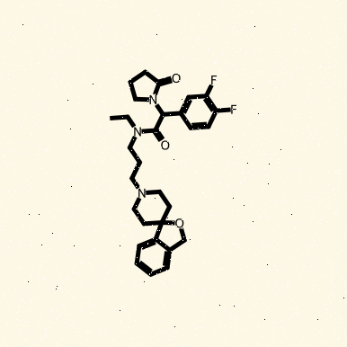 CCN(CCCN1CCC2(CC1)OCc1ccccc12)C(=O)C(c1ccc(F)c(F)c1)N1CCCC1=O